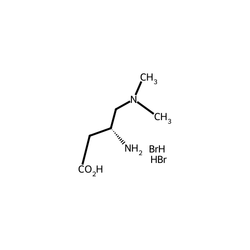 Br.Br.CN(C)C[C@H](N)CC(=O)O